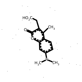 Cc1c(CC(=O)O)c(=O)oc2cc(N(C)C)ccc12